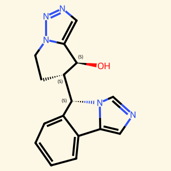 O[C@@H]1c2cnnn2CC[C@H]1[C@H]1c2ccccc2-c2cncn21